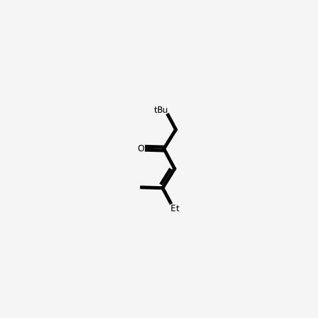 CC/C(C)=C/C(=O)CC(C)(C)C